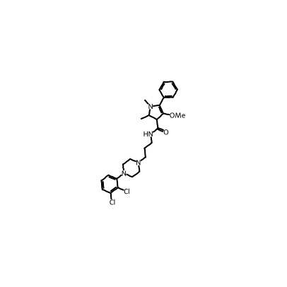 COC1=C(c2ccccc2)N(C)C(C)C1C(=O)NCCCN1CCN(c2cccc(Cl)c2Cl)CC1